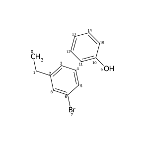 CCc1cccc(Br)c1.Oc1ccccc1